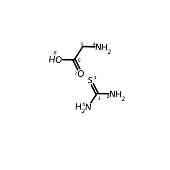 NC(N)=S.NCC(=O)O